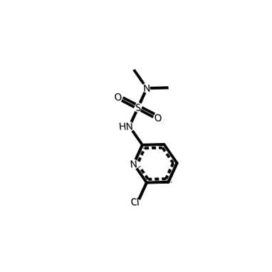 CN(C)S(=O)(=O)Nc1cc[c]c(Cl)n1